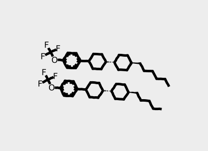 CCCCCC[C@H]1CC[C@H](C2CCC(c3ccc(OC(F)(F)F)cc3)CC2)CC1.CCCCC[C@H]1CC[C@H](C2CCC(c3ccc(OC(F)(F)F)cc3)CC2)CC1